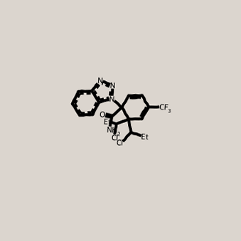 CCC(Cl)C1(C(Cl)CC)C=C(C(F)(F)F)C=CC1(C(N)=O)n1nnc2ccccc21